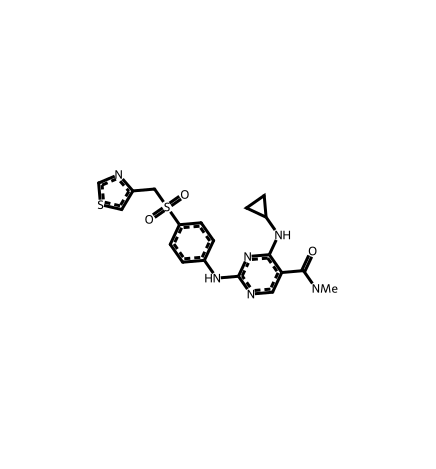 CNC(=O)c1cnc(Nc2ccc(S(=O)(=O)Cc3cscn3)cc2)nc1NC1CC1